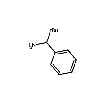 CC(C)(C)C(N)c1cc[c]cc1